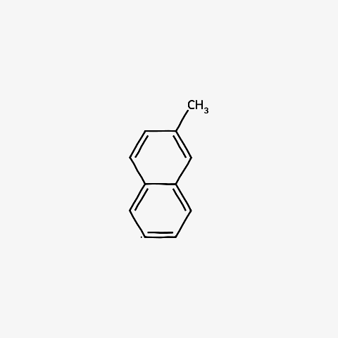 Cc1ccc2c[c]ccc2c1